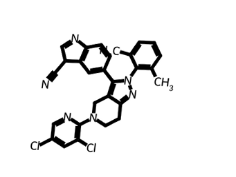 Cc1cccc(C)c1-n1nc2c(c1-c1ccc3c(c1)C(C#N)C=N3)CN(c1ncc(Cl)cc1Cl)CC2